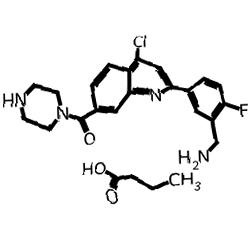 CCCC(=O)O.NCc1cc(-c2cc(Cl)c3ccc(C(=O)N4CCNCC4)cc3n2)ccc1F